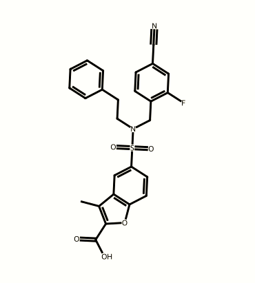 Cc1c(C(=O)O)oc2ccc(S(=O)(=O)N(CCc3ccccc3)Cc3ccc(C#N)cc3F)cc12